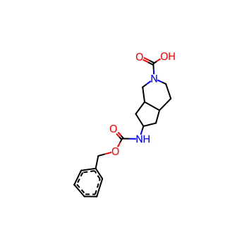 O=C(NC1CC2CCN(C(=O)O)CC2C1)OCc1ccccc1